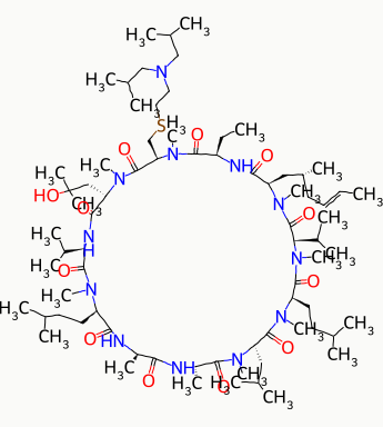 C/C=C/C[C@@H](C)C[C@@H]1C(=O)N[C@H](CC)C(=O)N(C)[C@H](CSCCN(CC(C)C)CC(C)C)C(=O)N(C)[C@@H](CC(C)(C)O)C(=O)N[C@H](C(C)C)C(=O)N(C)[C@H](CCC(C)C)C(=O)N[C@H](C)C(=O)N[C@@H](C)C(=O)N(C)[C@@H](CC(C)C)C(=O)N(C)[C@H](CCC(C)C)C(=O)N(C)[C@H](C(C)C)C(=O)N1C